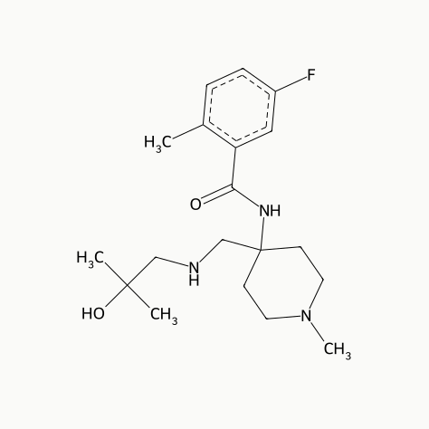 Cc1ccc(F)cc1C(=O)NC1(CNCC(C)(C)O)CCN(C)CC1